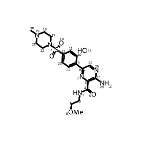 COCCNC(=O)c1nc(-c2ccc(S(=O)(=O)N3CCN(C)CC3)cc2)cnc1N.Cl